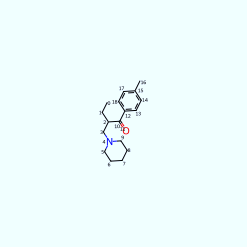 CCC(CN1CCCCC1)C(=O)c1ccc(C)cc1